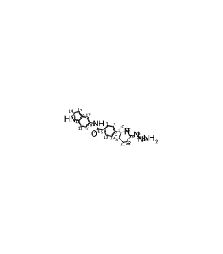 CC1(c2ccc(C(=O)Nc3ccc4[nH]ccc4c3)cc2)CCSC(N=NN)=N1